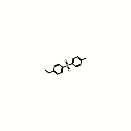 Cc1ccc(S(=O)(=O)c2ccc(CI)cc2)cc1